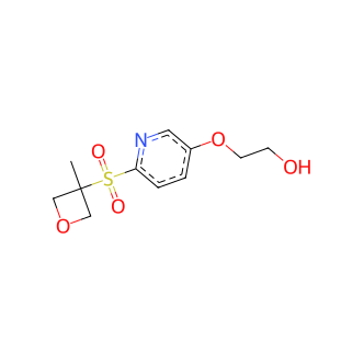 CC1(S(=O)(=O)c2ccc(OCCO)cn2)COC1